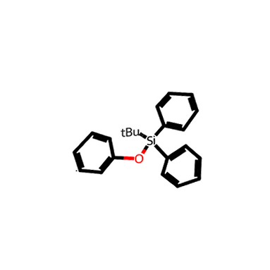 CC(C)(C)[Si](Oc1c[c]ccc1)(c1ccccc1)c1ccccc1